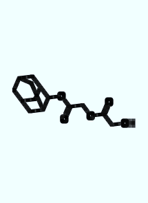 O=C(CO)OCC(=O)OC1C2CC3CC(C2)CC1C3